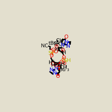 CC(C)(C)[Si](C)(C)O[C@@H]1[C@@H]2OP(=S)(OCCC#N)OC[C@H]3O[C@@H](n4ccc(=O)n5ccnc45)[C@H](OP(=O)(S)OC[C@H]2O[C@H]1n1ccc(=O)n2ccnc12)[C@@H]3O[Si](C)(C)C(C)(C)C